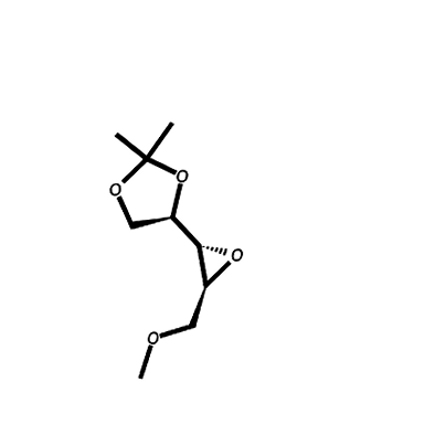 COC[C@@H]1O[C@H]1[C@H]1COC(C)(C)O1